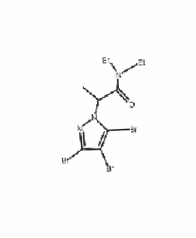 CCN(CC)C(=O)C(C)n1nc(Br)c(Br)c1Br